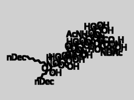 CCCCCCCCCCCCC/C=C/[C@@H](O)[C@H](CO[C@@H]1OC(CO)[C@@H](O[C@@H]2OC(CO)[C@H](O[C@@H]3OC(CO)[C@H](O)[C@H](O[C@@H]4OC(CO)[C@H](O)[C@H](O[C@@H]5OC(CO[C@]6(C(=O)O)CC(O)[C@@H](NC(C)=O)C([C@H](O)[C@H](O)CO)O6)[C@H](O)[C@H](O)C5O)C4NC(C)=O)C3O)[C@H](O)C2O)[C@H](O)C1O)NC(=O)CCCCCCCCCCCCCCCCC